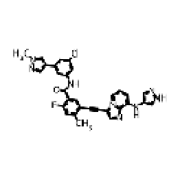 Cc1cc(F)c(C(=O)Nc2cc(Cl)cc(-c3cnn(C)c3)c2)cc1C#Cc1cnc2c(Nc3cn[nH]c3)cccn12